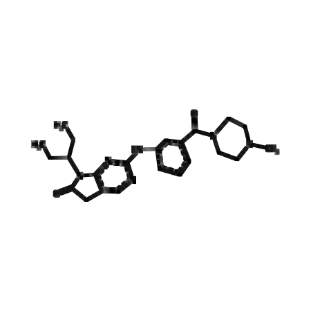 CCC(CC)N1C(=O)Cc2cnc(Nc3cccc(C(=O)N4CCN(C)CC4)c3)nc21